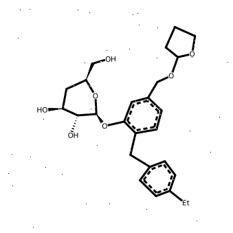 CCc1ccc(Cc2ccc(COC3CCCO3)cc2O[C@@H]2O[C@H](CO)C[C@H](O)[C@H]2O)cc1